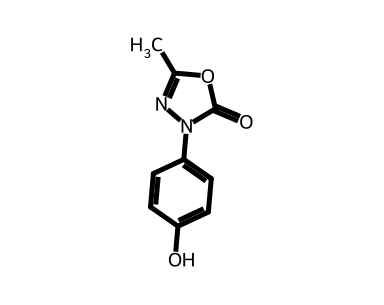 Cc1nn(-c2ccc(O)cc2)c(=O)o1